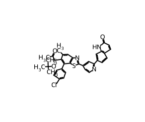 CC(=O)[C@@H](OC(C)(C)C)c1c(C)cc2nc(-c3ccnc(-c4ccc5ccc(=O)[nH]c5c4)c3)sc2c1-c1ccc(Cl)cc1